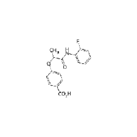 CC(Oc1ccc(C(=O)O)cc1)C(=O)Nc1ccccc1F